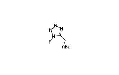 CCCCCc1nnnn1F